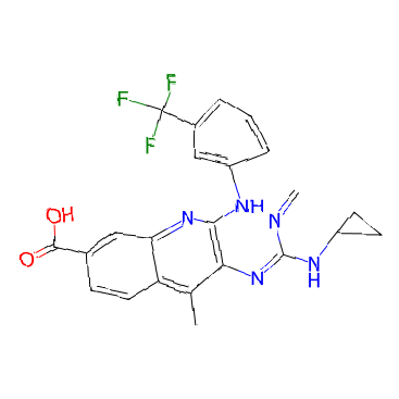 C=N/C(=N\c1c(Nc2cccc(C(F)(F)F)c2)nc2cc(C(=O)O)ccc2c1C)NC1CC1